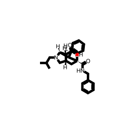 CC(C)CN1C[C@H]2C[C@]3(C(=O)NCc4ccccc4)NC(=O)[C@H]2[C@H]1[C@H]3c1ccccc1